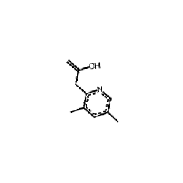 C=C(O)Cc1ncc(C)cc1C